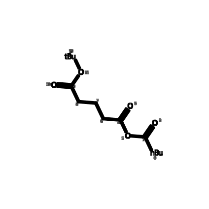 CCCCC(=O)OC(=O)CCCC(=O)OC(C)(C)C